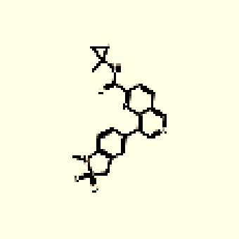 CN1c2ccc(-c3cncc4ccc(C(=O)NC5(C)CC5)nc34)cc2CS1(=O)=O